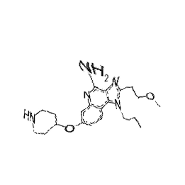 CCCn1c(CCOC)nc2c(N)nc3cc(OC4CCNCC4)ccc3c21